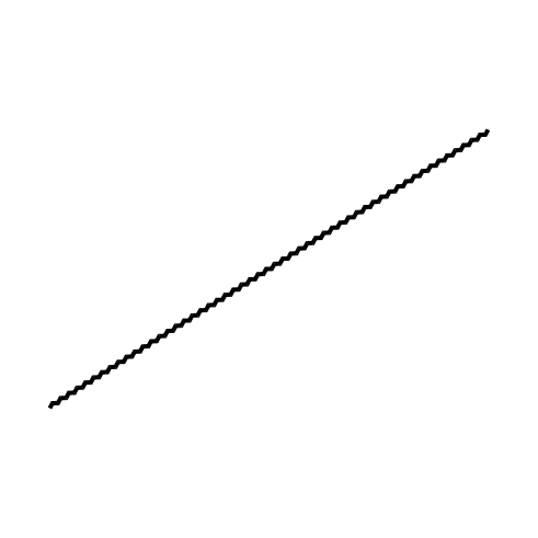 CCCCCCCCCCCCCCCCCCCCCCCCCCCCCCCCCCCCCCCCCCCCCCCCCCCCCCCCCCCCCCCCCCCCCCCCCCCCCCCCCCCCCCCCCCCCCCCCCCCCCCCCCCCC